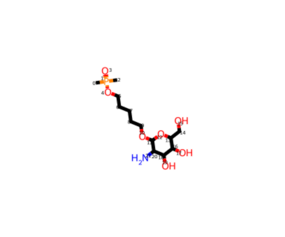 CP(C)(=O)OCCCCCOC1OC(CO)C(O)C(O)C1N